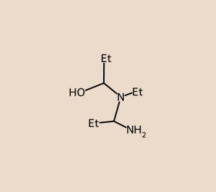 CCC(N)N(CC)C(O)CC